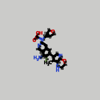 Cc1c(-c2cc3cc(N(C(=O)O)C4C5COCC54)ncc3c(N)c2F)cnc2c1NCCO2